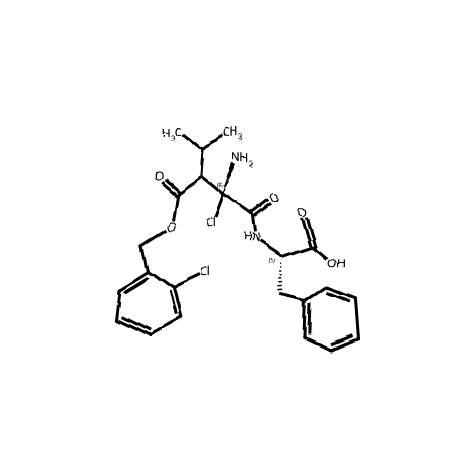 CC(C)C(C(=O)OCc1ccccc1Cl)[C@@](N)(Cl)C(=O)N[C@@H](Cc1ccccc1)C(=O)O